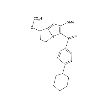 CSc1cc2n(c1C(=O)c1ccc(C3CCCCC3)cc1)CCC2OC(=O)O